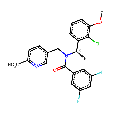 CCOc1cccc([C@@H](CC)N(Cc2ccc(C(=O)O)nc2)C(=O)c2cc(F)cc(F)c2)c1Cl